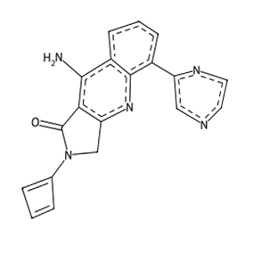 Nc1c2c(nc3c(-c4cnccn4)cccc13)CN(C1=CC=C1)C2=O